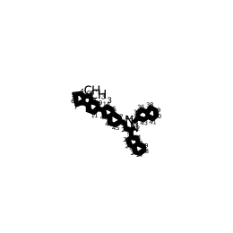 CC1(C)c2ccccc2-c2ccc(-c3ccc4cc(-c5cc(-c6ccc7ccccc7c6)nc(-c6ccc7ccccc7c6)n5)ccc4c3)cc21